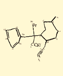 CC1CCC([N+]#N)C(C(C(=O)[O-])(c2ccccc2)C(C)C)C1